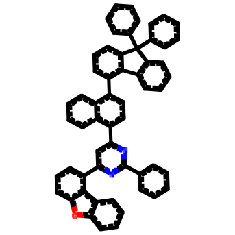 c1ccc(-c2nc(-c3ccc(-c4cccc5c4-c4ccccc4C5(c4ccccc4)c4ccccc4)c4ccccc34)cc(-c3cccc4oc5ccccc5c34)n2)cc1